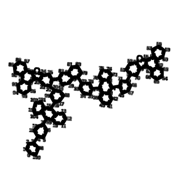 c1ccc(-c2ccc(-c3c4ccccc4c(-c4cccc(-c5cc6c(cc5-c5ccc7c(-c8cccc(-c9c%10ccccc%10c(-c%10cccc(-c%11ccc%12oc%13c%14ccccc%14c%14ccccc%14c%13c%12c%11)c%10)c%10ccccc9%10)c8)cccc7c5)oc5c7ccccc7c7ccccc7c65)c4)c4ccccc34)cc2)cc1